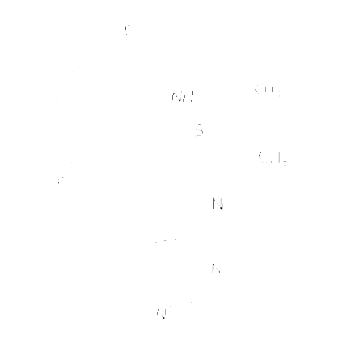 CC(C)SNc1cc(Oc2ccc3c(c2)C2=NCCN2C=N3)ccc1F